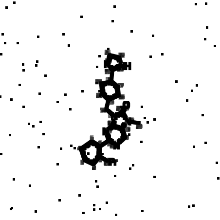 CC(C)c1ccccc1-c1ncc2c(n1)n(Cc1ccc(-c3ncc[nH]3)cc1)c(=O)n2C